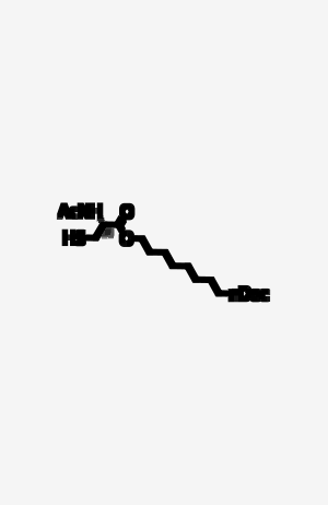 CCCCCCCCCCCCCCCCCCOC(=O)[C@H](CS)NC(C)=O